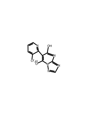 Oc1nc2ncnn2c(O)c1-c1ncccc1C(F)(F)F